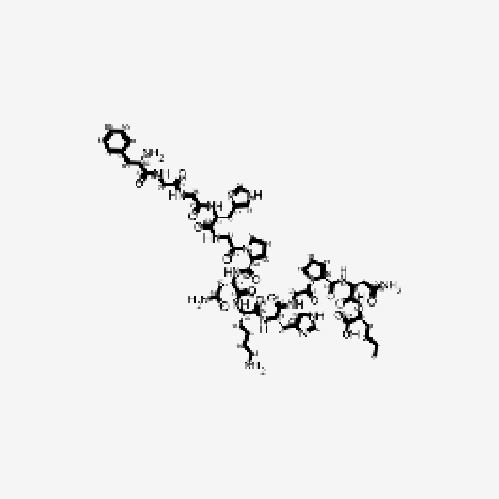 CCCC[C@H](NC(=O)[C@H](CC(N)=O)NC(=O)[C@@H]1CCCN1C(=O)CNC(=O)[C@H](Cc1c[nH]cn1)NC(=O)[C@H](CCCCN)NC(=O)[C@H](CC(N)=O)NC(=O)[C@@H]1CCCN1C(=O)CNC(=O)[C@H](Cc1c[nH]cn1)NC(=O)CNC(=O)CNC(=O)[C@@H](N)Cc1ccccc1)C(=O)O